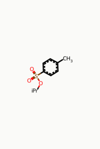 Cc1ccc(S(=O)(=O)OC(C)C)cc1